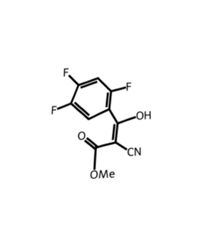 COC(=O)C(C#N)=C(O)c1cc(F)c(F)cc1F